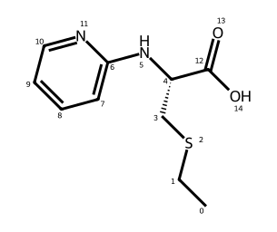 CCSC[C@H](Nc1ccccn1)C(=O)O